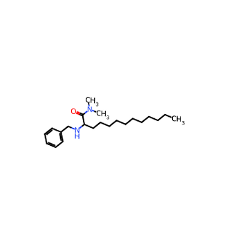 CCCCCCCCCCCC(NCc1ccccc1)C(=O)N(C)C